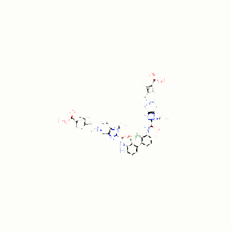 Cn1c(C(=O)Nc2cccc(-c3cccc(NC(=O)c4nc5c(n4C)CCN(CC46CC(C(=O)O)(C4)C6)C5)c3Cl)c2Cl)nc2c1CCN(CCC13CCC(C(=O)O)(CC1)C3)C2